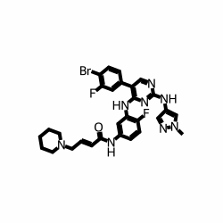 Cn1cc(Nc2ncc(-c3ccc(Br)c(F)c3)c(Nc3cc(NC(=O)/C=C/CN4CCCCC4)ccc3F)n2)cn1